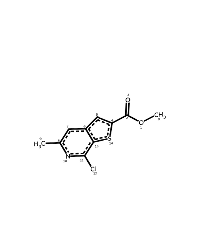 COC(=O)c1cc2cc(C)nc(Cl)c2s1